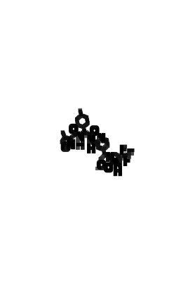 COCC(c1ccnc(NC(=O)[C@@H](NC(=O)c2nocc2C)C2CCC(C)CC2)c1)N1C[C@@H](C(F)(F)F)NC1=O